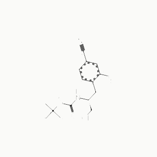 CC(C)(C)OC(=O)N[C@H](CO)Cc1ccc(C#N)cc1Cl